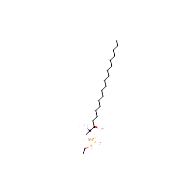 CCCCCCCCCCCCCCCCCC(=O)C(C)(N)OS(=O)(=O)OCC